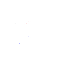 CCC(=O)c1cncn1Cc1ccccc1